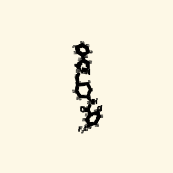 O=C(NC1CCC(Cn2cc(-c3ccccc3)cn2)CC1)c1cc(C(F)(F)F)ccc1Cl